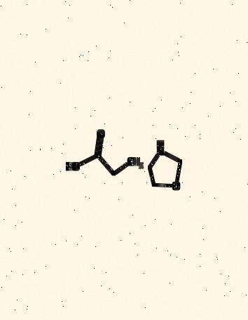 C1COCN1.CCC(=O)O